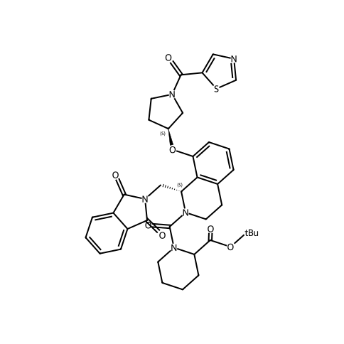 CC(C)(C)OC(=O)C1CCCCN1C(=O)N1CCc2cccc(O[C@H]3CCN(C(=O)c4cncs4)C3)c2[C@H]1CN1C(=O)c2ccccc2C1=O